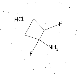 Cl.NC1(F)CCC1F